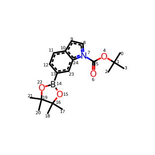 CC(C)(C)OC(=O)n1ccc2ccc(B3OC(C)(C)C(C)(C)O3)cc21